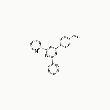 C=Cc1ccc(-c2cc(-c3ccccn3)nc(-c3ccccn3)c2)cc1